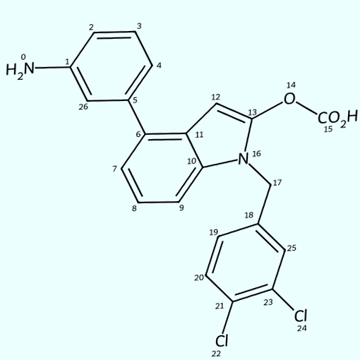 Nc1cccc(-c2cccc3c2cc(OC(=O)O)n3Cc2ccc(Cl)c(Cl)c2)c1